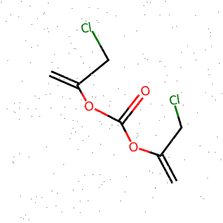 C=C(CCl)OC(=O)OC(=C)CCl